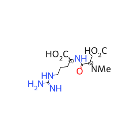 CN[C@@H](CC(=O)O)C(=O)N[C@@H](CCCNC(=N)N)C(=O)O